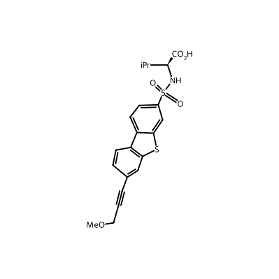 COCC#Cc1ccc2c(c1)sc1cc(S(=O)(=O)N[C@H](C(=O)O)C(C)C)ccc12